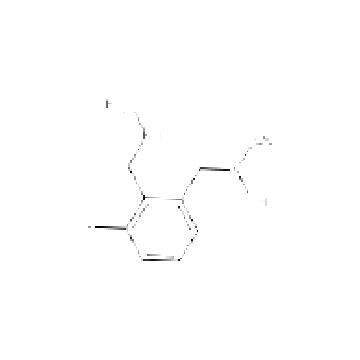 CN(Cc1cccc(F)c1CNC(=O)O)C(C)(C)C